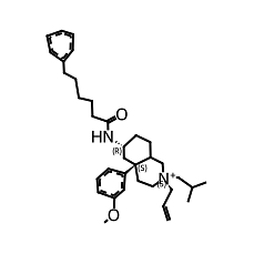 C=CC[N@@+]1(CC(C)C)CC[C@]2(c3cccc(OC)c3)C[C@H](NC(=O)CCCCCc3ccccc3)CCC2C1